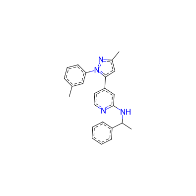 Cc1cccc(-n2nc(C)cc2-c2ccnc(NC(C)c3ccccc3)c2)c1